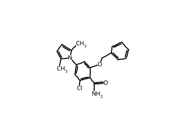 Cc1ccc(C)n1-c1cc(Cl)c(C(N)=O)c(OCc2ccccc2)c1